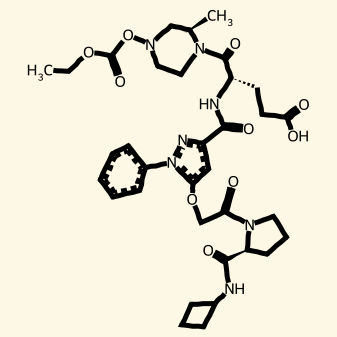 CCOC(=O)ON1CCN(C(=O)[C@H](CCC(=O)O)NC(=O)c2cc(OCC(=O)N3CCC[C@H]3C(=O)NC3CCC3)n(-c3ccccc3)n2)[C@H](C)C1